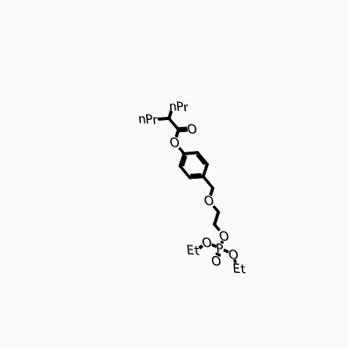 CCCC(CCC)C(=O)Oc1ccc(COCCOP(=O)(OCC)OCC)cc1